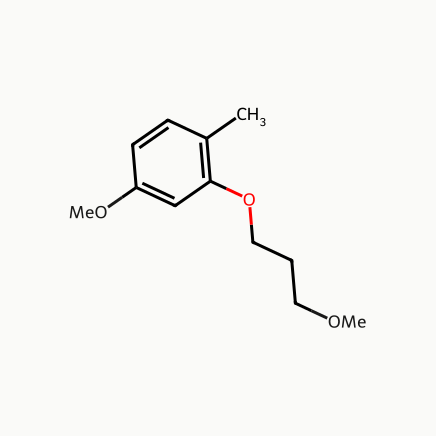 COCCCOc1cc(OC)ccc1C